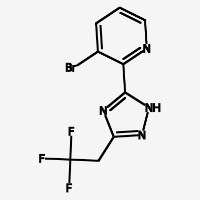 FC(F)(F)Cc1n[nH]c(-c2ncccc2Br)n1